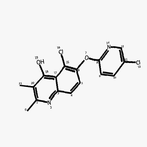 Cc1nc2ccc(Oc3ccc(Cl)cn3)c(Cl)c2c(O)c1C